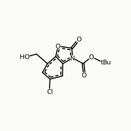 CC(C)(C)OC(=O)n1c(=O)oc2c(CO)cc(Cl)cc21